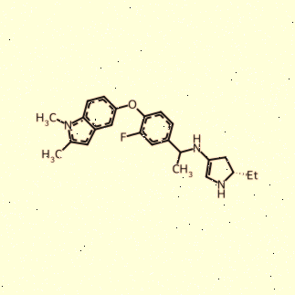 CC[C@H]1CC(NC(C)c2ccc(Oc3ccc4c(c3)cc(C)n4C)c(F)c2)=CN1